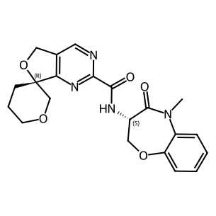 CN1C(=O)[C@@H](NC(=O)c2ncc3c(n2)[C@@]2(CCCOC2)OC3)COc2ccccc21